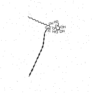 CC#CC#CC#CC#CC#CC#CC#CC#CC#CC#CC#CC#CC(=O)N[C@@H](CO[C@H]1OC(CO)[C@H](O)[C@H](O)C1O)[C@H](O)CCCCCCCCCCCCCC